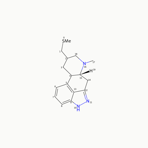 CSCC1CC2c3cccc4[nH]nc(c34)C[C@H]2N(C)C1